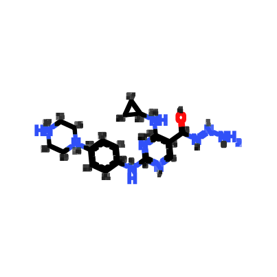 NN=NC(=O)c1cnc(Nc2ccc(N3CCNCC3)cc2)nc1NC1CC1